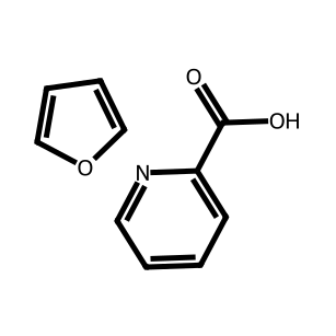 O=C(O)c1ccccn1.c1ccoc1